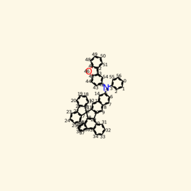 c1ccc(N(c2ccc3cc4c(cc3c2)C2(c3ccccc3-c3ccccc32)c2c-4c3ccccc3c3ccccc23)c2ccc3oc4ccccc4c3c2)cc1